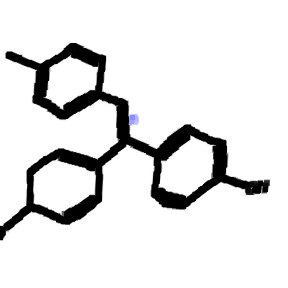 Cc1ccc(/C=C(\C2=CCC(O)C=C2)c2ccc(O)cc2)cc1